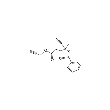 C#CCOC(=O)CCC(C)(C#N)SC(=S)c1ccccc1